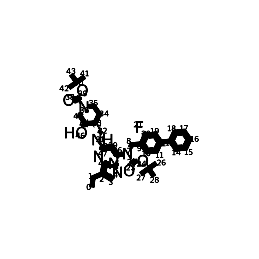 CCc1cnn2c(N(Cc3ccc(-c4ccccc4)cc3F)C(=O)OC(C)(C)C)cc(NC[C@H]3CCN(C(=O)OC(C)(C)C)C[C@@H]3O)nc12